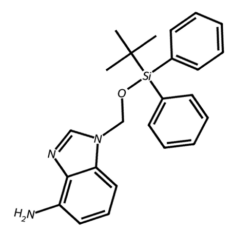 CC(C)(C)[Si](OCn1cnc2c(N)cccc21)(c1ccccc1)c1ccccc1